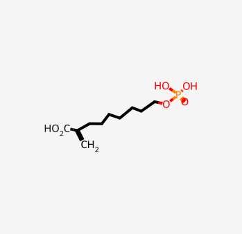 C=C(CCCCCCCOP(=O)(O)O)C(=O)O